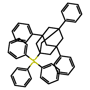 c1ccc(C23CC4(c5ccccc5)CC(c5ccccc5)(C2)CC(S(c2ccccc2)(c2ccccc2)c2ccccc2)(C3)C4)cc1